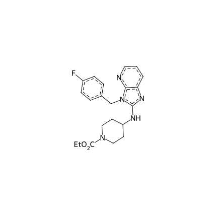 CCOC(=O)N1CCC(Nc2nc3cccnc3n2Cc2ccc(F)cc2)CC1